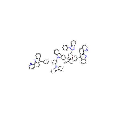 C=C(/C=C\c1cc(-c2c3ccccc3nc3c2ccc2cccnc23)ccc1C)c1ccc(-c2nc3ccccc3n2-c2ccccc2)cc1-c1ccc2c(c1)c1ccccc1n2-c1cc(-c2ccc(-c3c4ccccc4nc4c3ccc3cccnc34)cc2)cc(-n2c3ccccc3c3ccccc32)c1